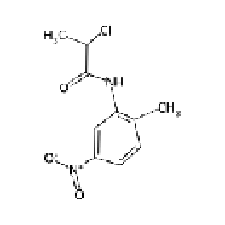 Cc1ccc([N+](=O)[O-])cc1NC(=O)C(C)Cl